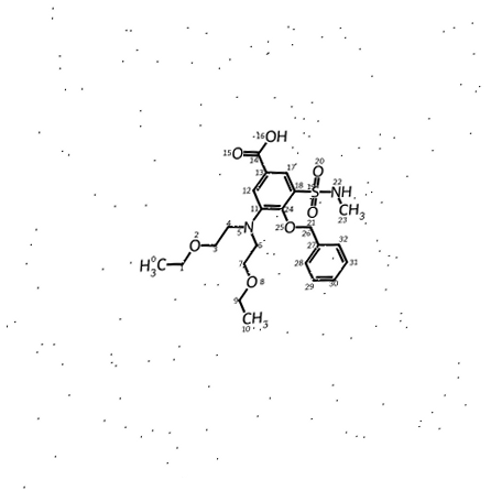 CCOCCN(CCOCC)c1cc(C(=O)O)cc(S(=O)(=O)NC)c1OCc1ccccc1